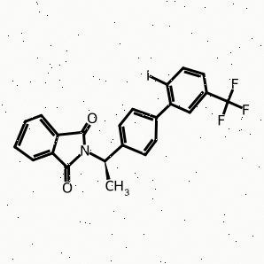 C[C@H](c1ccc(-c2cc(C(F)(F)F)ccc2I)cc1)N1C(=O)c2ccccc2C1=O